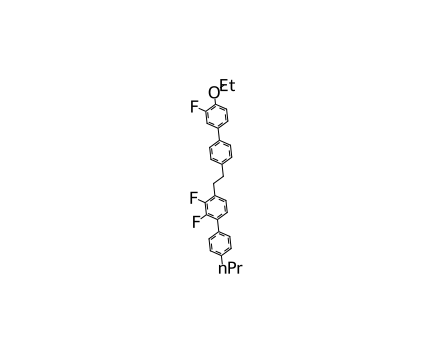 CCCc1ccc(-c2ccc(CCc3ccc(-c4ccc(OCC)c(F)c4)cc3)c(F)c2F)cc1